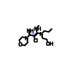 CCCN(CCO)/C(NC)=C(\Cl)C(=N)N1CCOCC1